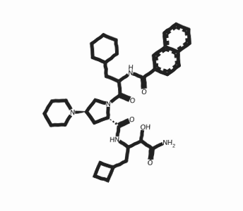 NC(=O)C(O)C(CC1CCC1)NC(=O)[C@@H]1C[C@@H](N2CCCCC2)CN1C(=O)C(CC1CCCCC1)NC(=O)c1ccc2ccccc2c1